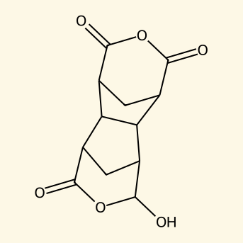 O=C1OC(=O)C2CC1C1C3CC(C(O)OC3=O)C21